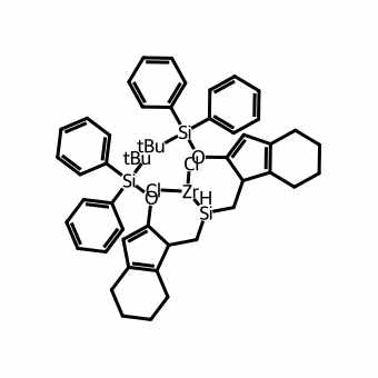 CC(C)(C)[Si](OC1=CC2=C(CCCC2)C1C[SiH](CC1C(O[Si](c2ccccc2)(c2ccccc2)C(C)(C)C)=CC2=C1CCCC2)[Zr]([Cl])[Cl])(c1ccccc1)c1ccccc1